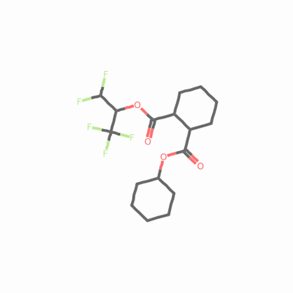 O=C(OC1CCCCC1)C1CCCCC1C(=O)OC(C(F)F)C(F)(F)F